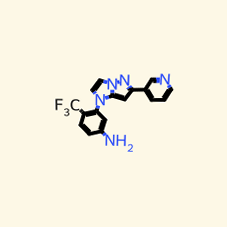 Nc1ccc(C(F)(F)F)c(-n2ccn3nc(-c4cccnc4)cc23)c1